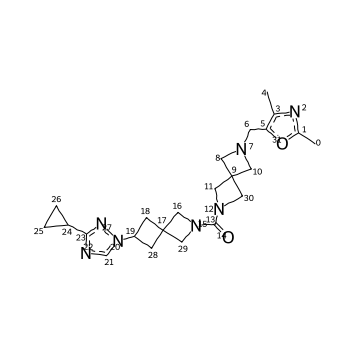 Cc1nc(C)c(CN2CC3(C2)CN(C(=O)N2CC4(CC(n5cnc(C6CC6)n5)C4)C2)C3)o1